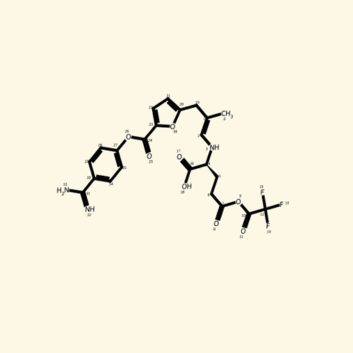 CC(=CN[C@@H](CCC(=O)OC(=O)C(F)(F)F)C(=O)O)Cc1ccc(C(=O)Oc2ccc(C(=N)N)cc2)o1